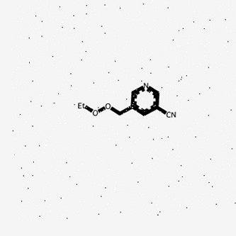 CCOOCc1cncc(C#N)c1